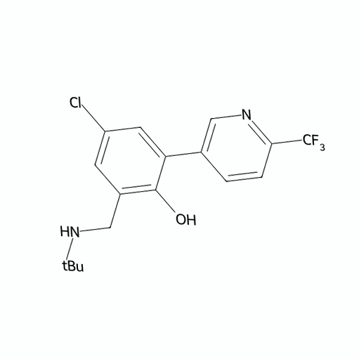 CC(C)(C)NCc1cc(Cl)cc(-c2ccc(C(F)(F)F)nc2)c1O